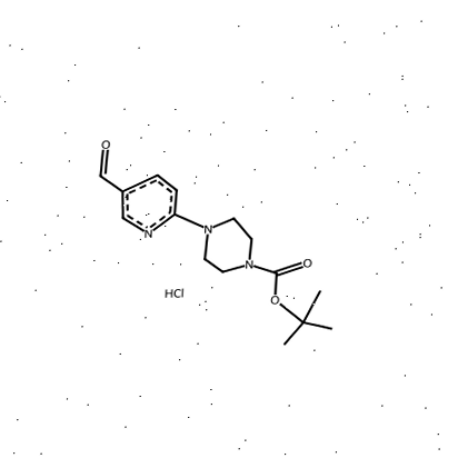 CC(C)(C)OC(=O)N1CCN(c2ccc(C=O)cn2)CC1.Cl